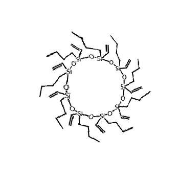 C=C[Si]1(CCCC)O[Si](C=C)(CCCC)O[Si](C=C)(CCCC)O[Si](C=C)(CCCC)O[Si](C=C)(CCCC)O[Si](C=C)(CCCC)O[Si](C=C)(CCCC)O[Si](C=C)(CCCC)O[Si](C=C)(CCCC)O1